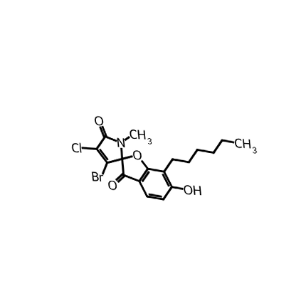 CCCCCCc1c(O)ccc2c1OC1(C2=O)C(Br)=C(Cl)C(=O)N1C